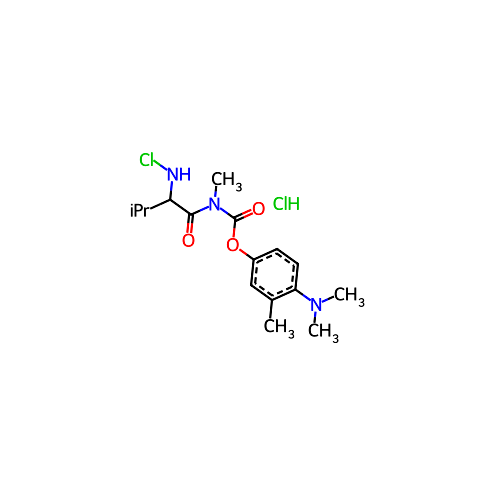 Cc1cc(OC(=O)N(C)C(=O)C(NCl)C(C)C)ccc1N(C)C.Cl